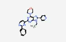 CCn1c(-c2ccncc2)nc2c(N3CCOCC3)nc(-c3ccnc(-c4ccccc4)n3)nc21